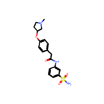 CN1CCC(Oc2ccc(CC(=O)Nc3cccc(S(N)(=O)=O)c3)cc2)C1